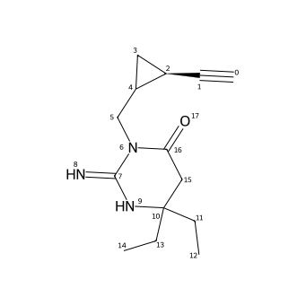 C#C[C@@H]1CC1CN1C(=N)NC(CC)(CC)CC1=O